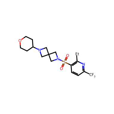 CCc1nc(C(F)(F)F)ccc1S(=O)(=O)N1CC2(CN(C3CCOCC3)C2)C1